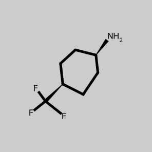 N[C@H]1CC[C@@H](C(F)(F)F)CC1